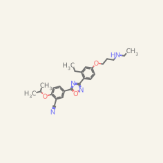 CCNCCCOc1ccc(-c2noc(-c3ccc(OC(C)C)c(C#N)c3)n2)c(CC)c1